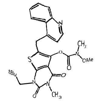 CON(C)C(=O)Oc1c(Cc2ccnc3ccccc23)sc2c1c(=O)n(C)c(=O)n2CC(C)(C)C